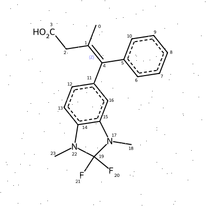 C/C(CC(=O)O)=C(\c1ccccc1)c1ccc2c(c1)N(C)C(F)(F)N2C